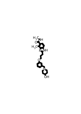 CNC(=O)c1ccc2[nH]c(CCCOc3cccc(CN4CCC(O)CC4)c3)nc2c1C